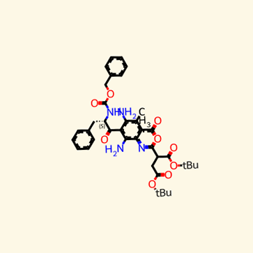 Cc1c(N)c(C(=O)[C@H](Cc2ccccc2)NC(=O)OCc2ccccc2)c(N)c2nc(C(CC(=O)OC(C)(C)C)C(=O)OC(C)(C)C)oc(=O)c12